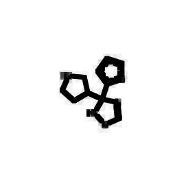 C1=NC(c2cccs2)(C2CCNC2)NO1